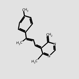 C=c1ncnc(C)/c1=C/C=C(\C)c1ccc(C)cc1